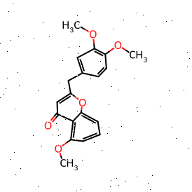 COc1ccc(Cc2cc(=O)c3c(OC)cccc3o2)cc1OC